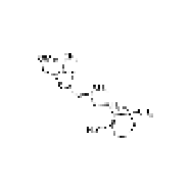 COCC1SC(/C=C(C)/C=C/C2=C(C)CCCC2(C)C)C=C1C